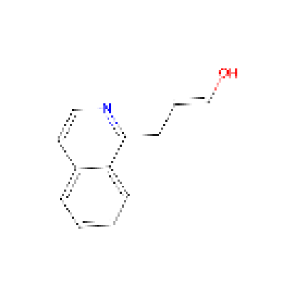 OC=CCc1nccc2ccccc12